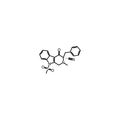 CN1Cc2c(c3ccccc3n2S(C)(=O)=O)C(=O)[C@@]1(C#N)Cc1ccccc1